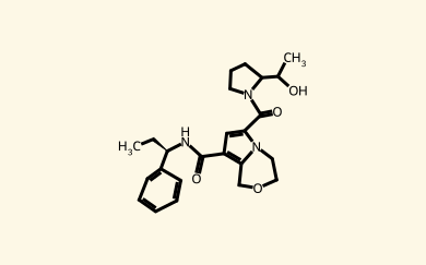 CC[C@@H](NC(=O)c1cc(C(=O)N2CCCC2C(C)O)n2c1COCC2)c1ccccc1